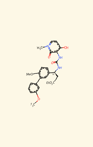 CCOC(=O)C[C@H](NC(=O)Nc1c(O)ccn(C)c1=O)c1ccc(OC)c(-c2cccc(OC(F)(F)F)c2)c1